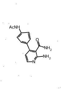 CC(=O)Nc1ccc(-c2ccnc(N)c2C(N)=O)cc1